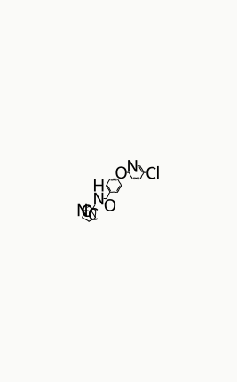 O=C(NC1CC2CCN(CC2)C1)c1ccc(Oc2ccc(Cl)cn2)cc1